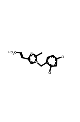 Cc1nc(C=CC(=O)O)cn1Cc1ccc(Cl)cc1Cl